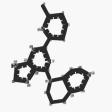 Cc1cccc(-c2nc(N3CCCc4cnccc43)c3nc[nH]c3n2)n1